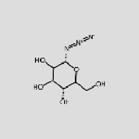 [N-]=[N+]=N[C@@H]1OC(CO)[C@H](O)C(O)C1O